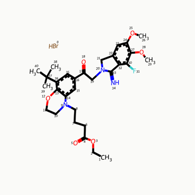 Br.CCOC(=O)CCCN1CCOc2c1cc(C(=O)CN1Cc3cc(OC)c(OC)c(F)c3C1=N)cc2C(C)(C)C